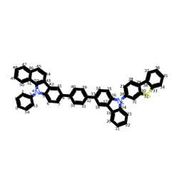 c1ccc(-n2c3ccc(-c4ccc(-c5ccc6c(c5)c5ccccc5n6-c5ccc6c(c5)sc5ccccc56)cc4)cc3c3ccc4ccccc4c32)cc1